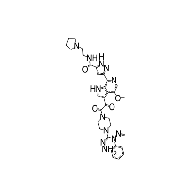 C=NN(/C(=N\N)N1CCN(C(=O)C(=O)c2c[nH]c3c(-c4cc(C(=O)NCCN5CCCC5)[nH]n4)ncc(OC)c23)CC1)c1ccccc1